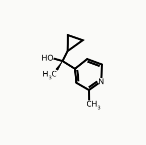 Cc1cc([C@](C)(O)C2CC2)ccn1